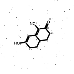 N#CC1=C2C=C(O)CCC2CCC1=O